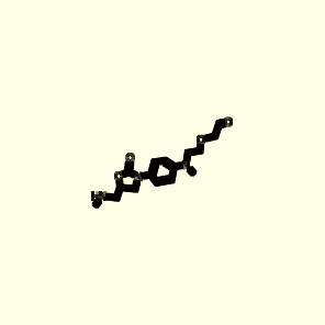 CNCC1CN(c2ccc(N(C)CCOCC=O)cc2)C(=O)O1